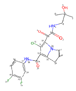 CC(C)(O)CNC(=O)C(=O)c1c(Cl)c(C(=O)Nc2ccc(F)c(F)c2)c2n1CCC2